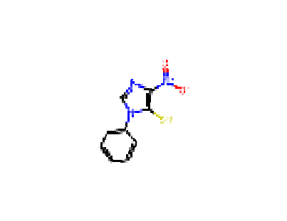 O=[N+]([O-])c1ncn(-c2ccccc2)c1S